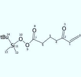 C=CC(=O)CCCC(=O)OO[Si](C)(C)C(C)(C)C